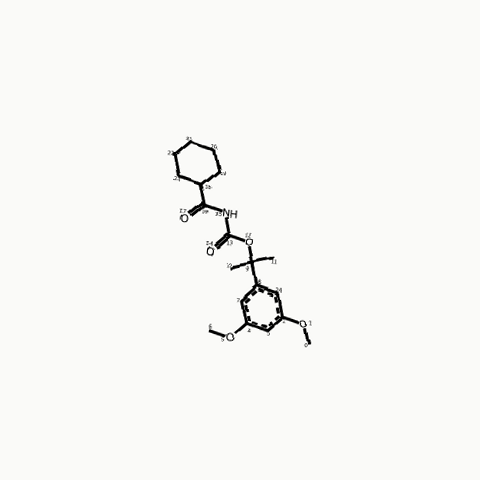 COc1cc(OC)cc(C(C)(C)OC(=O)NC(=O)C2CCCCC2)c1